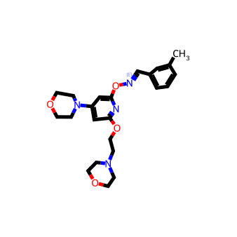 Cc1cccc(/C=N/Oc2cc(N3CCOCC3)cc(OCCN3CCOCC3)n2)c1